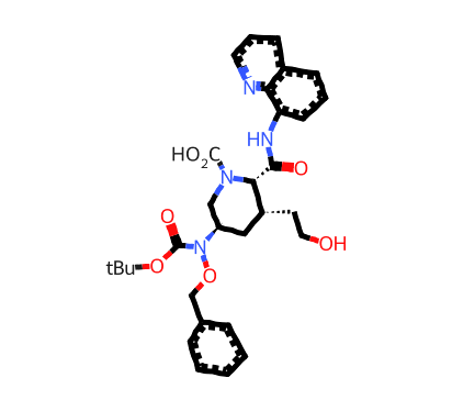 CC(C)(C)OC(=O)N(OCc1ccccc1)[C@@H]1C[C@@H](CCO)[C@@H](C(=O)Nc2cccc3cccnc23)N(C(=O)O)C1